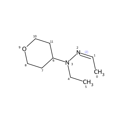 C/C=N\N(CC)C1CCOCC1